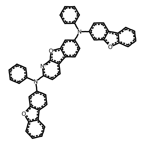 c1ccc(N(c2ccc3c(c2)oc2ccccc23)c2ccc3c(c2)oc2nc(N(c4ccccc4)c4ccc5c(c4)oc4ccccc45)ccc23)cc1